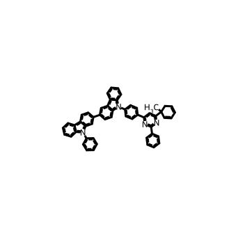 CC1(c2cc(-c3ccc(-n4c5ccccc5c5cc(-c6ccc7c8ccccc8n(-c8ccccc8)c7c6)ccc54)cc3)nc(-c3ccccc3)n2)C=CC=CC1